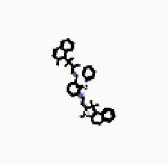 C=C(/C=C/C1=C(Sc2ccccc2)C(=C/C=C2/N(C)c3ccc4ccccc4c3C2(C)C)/CCC1)C(C)(C)c1c(C)ccc2ccccc12